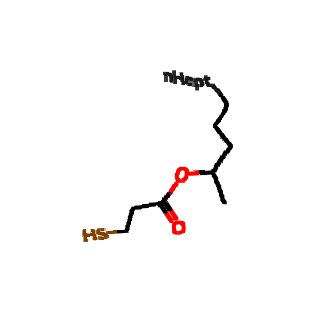 CCCCCCCCCCC(C)OC(=O)CCS